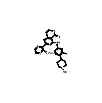 COc1nccnc1-c1cc2c(c(Nc3ccc(C4CCN(C(C)=O)CC4)c(C)c3)n1)C(=O)[N]C=C2